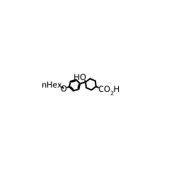 CCCCCCOc1ccc(C2(O)CCC(C(=O)O)CC2)cc1